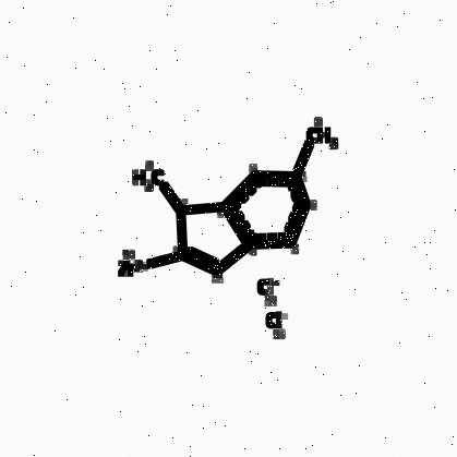 Cc1ccc2c(c1)C(C)[C]([Zr+2])=C2.[Cl-].[Cl-]